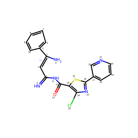 N=C(/C=C(\N)c1ccccc1)NC(=O)c1sc(-c2cccnc2)nc1Cl